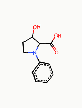 O=C(O)C1C(O)CCN1c1ccccc1